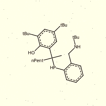 CCCCCC(C)(Pc1ccccc1CNC(C)(C)C)c1cc(C(C)(C)C)cc(C(C)(C)C)c1O